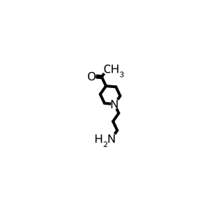 CC(=O)C1CCN(CCCN)CC1